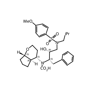 COc1ccc(S(=O)(=O)N(CC(C)C)C[C@@H](O)[C@H](Cc2ccccc2)N(C(=O)O)[C@H]2CCO[C@H]3CCC[C@@H]32)cc1